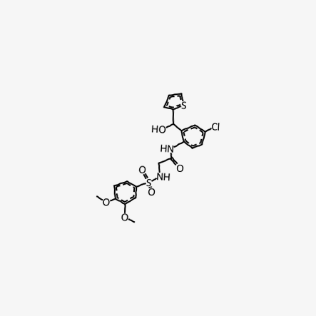 COc1ccc(S(=O)(=O)NCC(=O)Nc2ccc(Cl)cc2C(O)c2cccs2)cc1OC